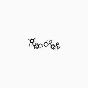 Cc1cc(C)cc(Nc2ncc3c(n2)CN([C@@H]2CCN(C(=O)c4ccnc([SH](=O)=O)c4)[C@H](C)C2)C3)c1